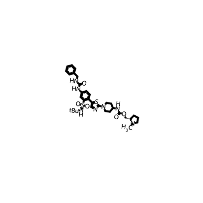 CN1CCC[C@H]1COC(=O)NC1CCN(c2ncc(-c3ccc(NC(=O)NCc4ccccc4)cc3S(=O)(=O)NC(C)(C)C)s2)CC1